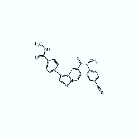 CNC(=O)c1ccc(-c2cnn3ccc(C(=O)N(C)c4ccc(C#N)cn4)cc23)cc1